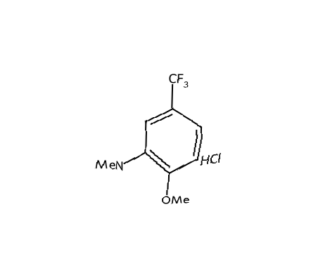 CNc1cc(C(F)(F)F)ccc1OC.Cl